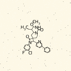 CCC1C2CC3(CCN2C(=O)N[C@@H]1OC)C(=O)N(c1ccc(F)c(Cl)c1)C3c1ccc(-c2ccccc2)cn1